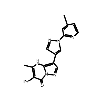 Cc1ccnc(-n2cc(-c3cnn4c(=O)c(C(C)C)c(C)[nH]c34)cn2)c1